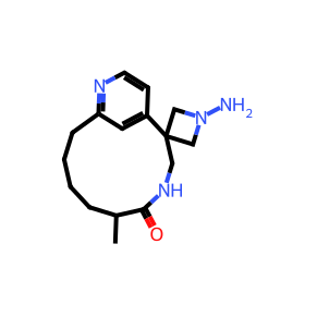 CC1CCCCc2cc(ccn2)C2(CNC1=O)CN(N)C2